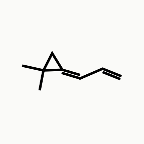 C=CC=C1CC1(C)C